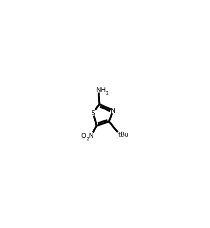 CC(C)(C)c1nc(N)sc1[N+](=O)[O-]